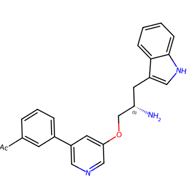 CC(=O)c1cccc(-c2cncc(OC[C@@H](N)Cc3c[nH]c4ccccc34)c2)c1